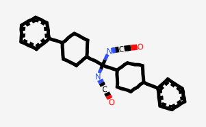 O=C=NC(N=C=O)(C1CCC(c2ccccc2)CC1)C1CCC(c2ccccc2)CC1